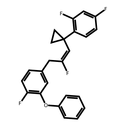 F/C(=C/C1(c2ccc(F)cc2F)CC1)Cc1ccc(F)c(Oc2ccccc2)c1